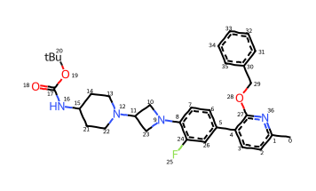 Cc1ccc(-c2ccc(N3CC(N4CCC(NC(=O)OC(C)(C)C)CC4)C3)c(F)c2)c(OCc2ccccc2)n1